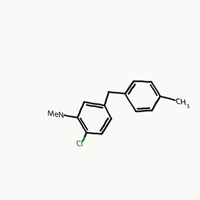 CNc1cc(Cc2ccc(C)cc2)ccc1Cl